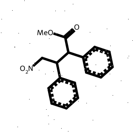 COC(=O)C(c1ccccc1)C(C[N+](=O)[O-])c1ccccc1